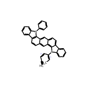 C#C/C=C\C(=C/C)n1c2ccccc2c2ccc3cc4c(ccc5c6ccccc6n(-c6ccccc6)c45)cc3c21